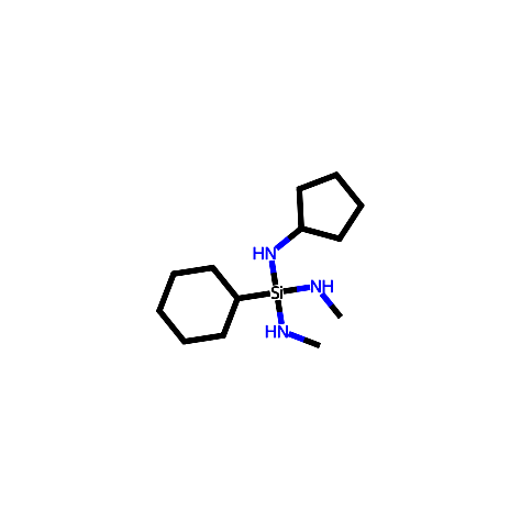 CN[Si](NC)(NC1CCCC1)C1CCCCC1